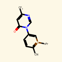 CCCS1=C(C#N)C=CC(n2cnc(C(F)(F)F)cc2=O)=C1